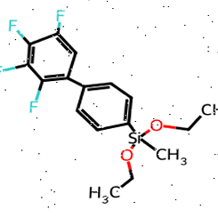 CCO[Si](C)(OCC)c1ccc(-c2cc(F)c(F)c(F)c2F)cc1